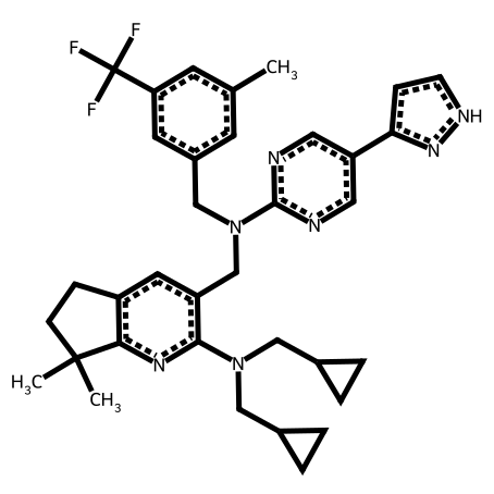 Cc1cc(CN(Cc2cc3c(nc2N(CC2CC2)CC2CC2)C(C)(C)CC3)c2ncc(-c3cc[nH]n3)cn2)cc(C(F)(F)F)c1